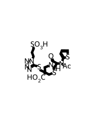 CC(=O)N(c1cccs1)C1C(=O)N2CC(CSc3nnnn3CCCS(=O)(=O)O)(C(=O)O)CS[C@H]12